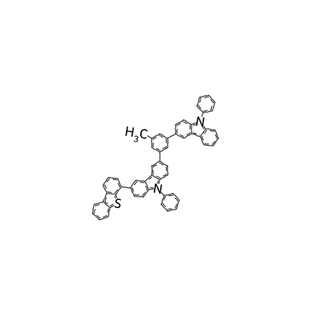 Cc1cc(-c2ccc3c(c2)c2ccccc2n3-c2ccccc2)cc(-c2ccc3c(c2)c2cc(-c4cccc5c4sc4ccccc45)ccc2n3-c2ccccc2)c1